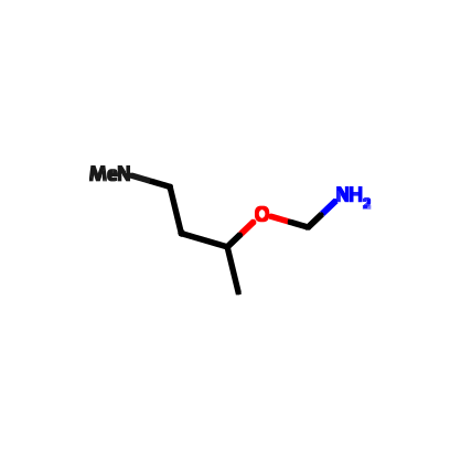 CNCCC(C)OCN